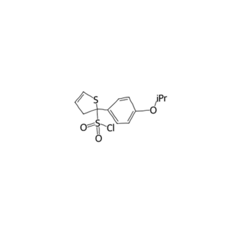 CC(C)Oc1ccc(C2(S(=O)(=O)Cl)CC=CS2)cc1